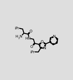 CC(C)Cc1nc(-c2cccnc2)oc1C(=O)CNC(=O)C(N)CC(C)C